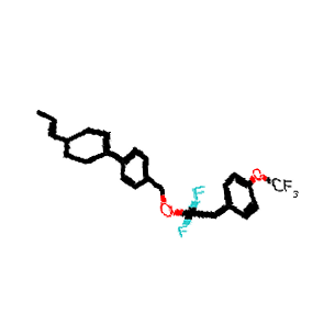 CC=CC1CCC(c2ccc(COC(F)(F)Cc3ccc(OC(F)(F)F)cc3)cc2)CC1